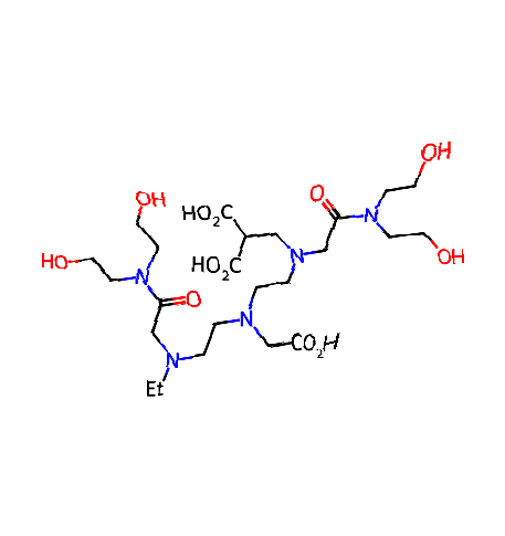 CCN(CCN(CCN(CC(=O)N(CCO)CCO)CC(C(=O)O)C(=O)O)CC(=O)O)CC(=O)N(CCO)CCO